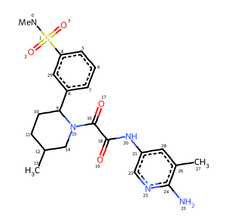 CNS(=O)(=O)c1cccc(C2CCC(C)CN2C(=O)C(=O)Nc2cnc(N)c(C)c2)c1